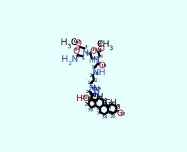 COCCN(CC(N)=O)C(=O)CN(CCOC)C(=O)CNCCCn1cc([C@]2(O)CCC3C4CCC5=CC(=O)CC[C@]5(C)C4CC[C@@]32C)nn1